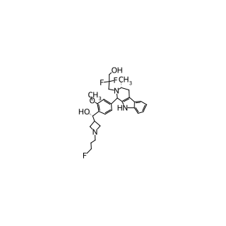 COc1cc(C2c3[nH]c4ccccc4c3C[C@@H](C)N2CC(F)(F)CO)ccc1[C@@H](O)C1CN(CCCF)C1